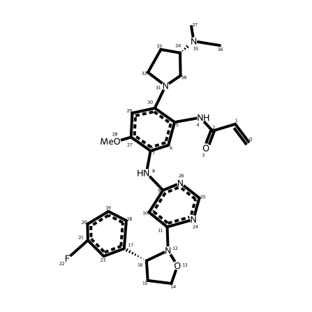 C=CC(=O)Nc1cc(Nc2cc(N3OCC[C@@H]3c3cccc(F)c3)ncn2)c(OC)cc1N1CC[C@H](N(C)C)C1